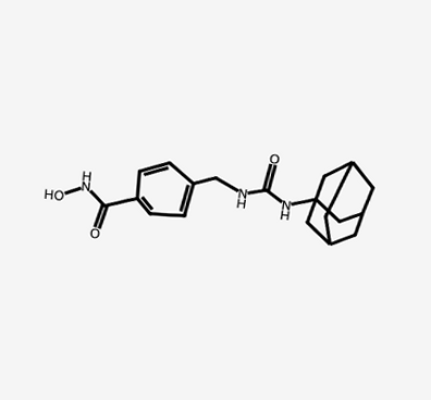 O=C(NCc1ccc(C(=O)NO)cc1)NC12CC3CC(CC(C3)C1)C2